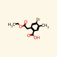 CCOC(=O)Cc1cc(Br)c(C)cc1C(=O)O